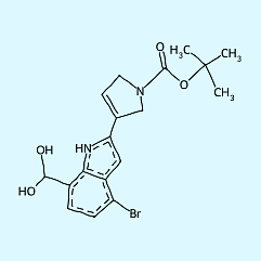 CC(C)(C)OC(=O)N1CC=C(c2cc3c(Br)ccc(C(O)O)c3[nH]2)C1